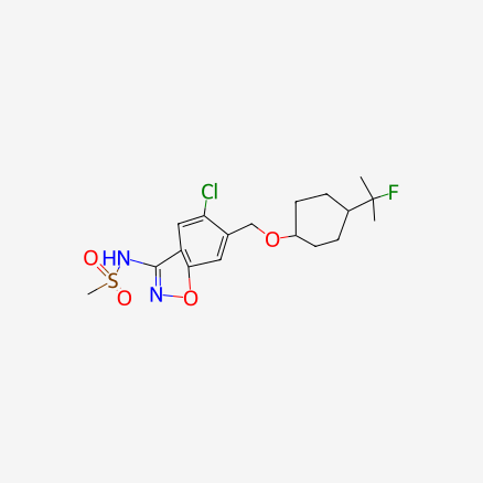 CC(C)(F)C1CCC(OCc2cc3onc(NS(C)(=O)=O)c3cc2Cl)CC1